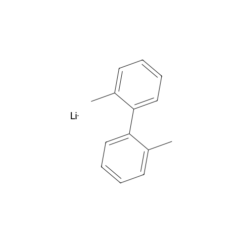 Cc1ccccc1-c1ccccc1C.[Li]